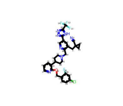 N#CC1(Cc2cc(-c3nnc(C(F)(F)F)[nH]3)cnc2CN2CCC(c3cccnc3OCc3ccc(Cl)cc3F)CC2)CC1